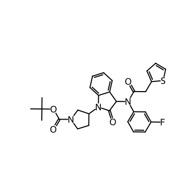 CC(C)(C)OC(=O)N1CCC(N2C(=O)C(N(C(=O)Cc3cccs3)c3cccc(F)c3)c3ccccc32)C1